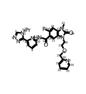 CC(C)n1cnnc1-c1cccc(NC(=O)c2cc3c(cc2F)n(C)c(=O)n3CCOCc2ccccn2)n1